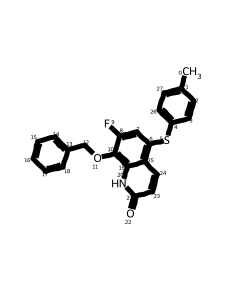 Cc1ccc(Sc2cc(F)c(OCc3ccccc3)c3[nH]c(=O)ccc23)cc1